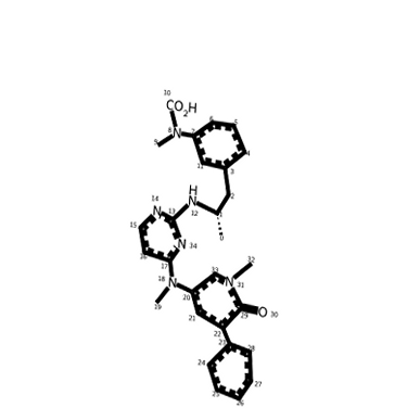 C[C@@H](Cc1cccc(N(C)C(=O)O)c1)Nc1nccc(N(C)c2cc(-c3ccccc3)c(=O)n(C)c2)n1